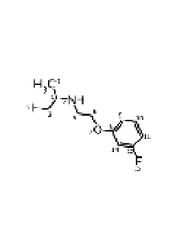 CC(CI)NCCOc1cccc(F)c1